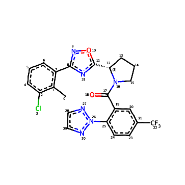 Cc1c(Cl)cccc1-c1noc([C@@H]2CCCN2C(=O)c2cc(C(F)(F)F)ccc2-n2nccn2)n1